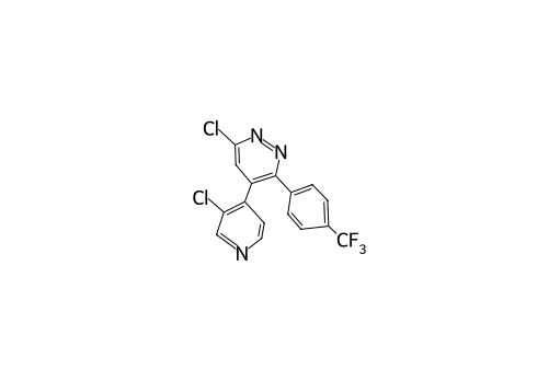 FC(F)(F)c1ccc(-c2nnc(Cl)cc2-c2ccncc2Cl)cc1